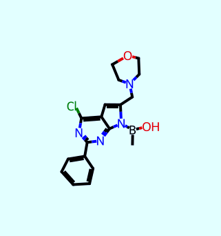 CB(O)n1c(CN2CCOCC2)cc2c(Cl)nc(-c3ccccc3)nc21